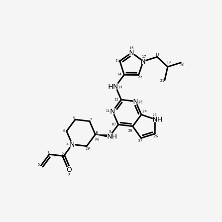 C=CC(=O)N1CCC[C@@H](Nc2nc(Nc3cnn(CC(C)C)c3)nc3[nH]ccc23)C1